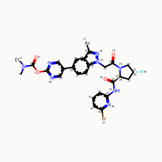 CCN(C)C(=O)Oc1ncc(-c2ccc3c(c2)c(C(C)=O)nn3CC(=O)N2C[C@H](F)C[C@H]2C(=O)Nc2cccc(Br)n2)cn1